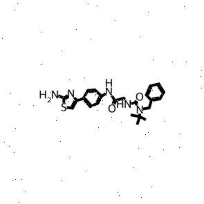 CC(C)(C)N(Cc1ccccc1)C(=O)NCC(=O)Nc1ccc(-c2csc(N)n2)cc1